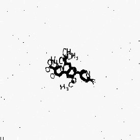 COc1cc2c(cc1-c1ccc(F)nc1)CC(C(C)(C)C)n1cc(C(=O)O)c(=O)cc1-2